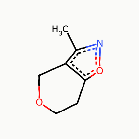 Cc1noc2c1COCC2